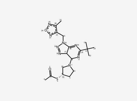 CC(=O)S[C@H]1CCN(C2N=C(C(C)(C)C)N=C3C2N=NN3Cc2nonc2C)C1